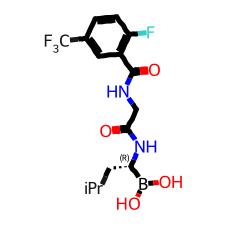 CC(C)C[C@H](NC(=O)CNC(=O)c1cc(C(F)(F)F)ccc1F)B(O)O